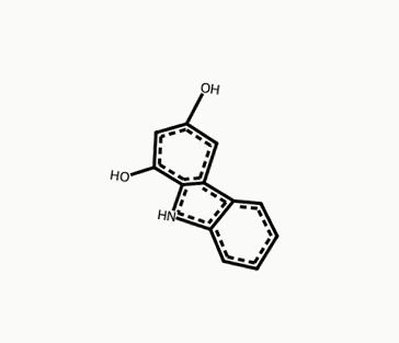 Oc1cc(O)c2[nH]c3ccccc3c2c1